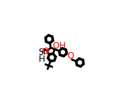 CCC(c1ccccc1)C(O)(c1ccc(OCc2ccccc2)cc1)c1ccc(C(C)(C)C)cc1O[SiH](C)C